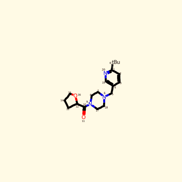 CC(C)(C)c1ccc(CN2CCN(C(=O)C3CCCO3)CC2)cn1